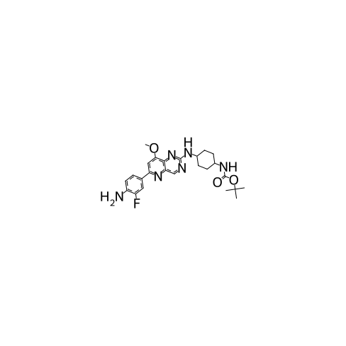 COc1cc(-c2ccc(N)c(F)c2)nc2cnc(NC3CCC(NC(=O)OC(C)(C)C)CC3)nc12